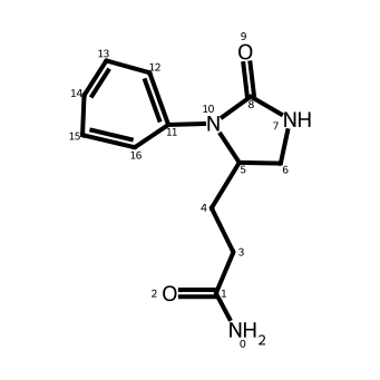 NC(=O)CCC1CNC(=O)N1c1ccccc1